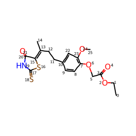 CCOC(=O)COc1ccc(CCC(C)=C2SC(=S)NC2=O)cc1OC